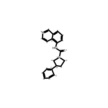 S=C(Nc1cccc2cnccc12)N1CCC(c2ccccc2)C1